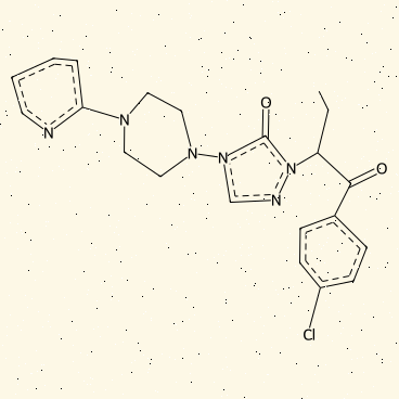 CCC(C(=O)c1ccc(Cl)cc1)n1ncn(N2CCN(c3ccccn3)CC2)c1=O